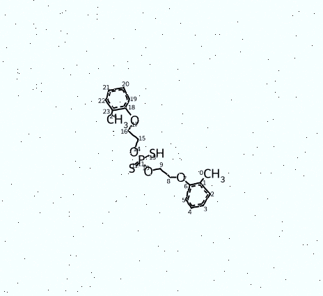 Cc1ccccc1OCCOP(=S)(S)OCCOc1ccccc1C